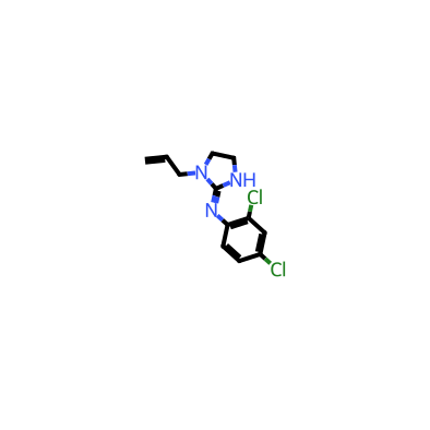 C=CCN1CCN/C1=N\c1ccc(Cl)cc1Cl